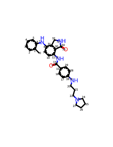 Cc1ccccc1Nc1ccc(NC(=O)c2ccc(NCCCN3CCCC3)cc2)c2c1CNC2=O